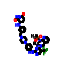 CN(c1ncccc1CNc1nc(Nc2ccc(N3CCN(Cc4cccc(NC5CCC(=O)NC5=O)c4)CC3)cc2)ncc1C(F)(F)F)S(C)(=O)=O